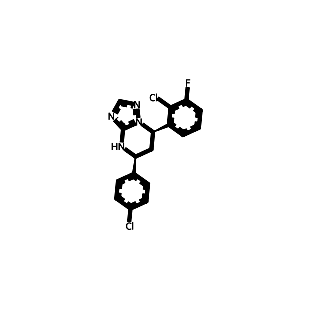 Fc1cccc([C@H]2C[C@@H](c3ccc(Cl)cc3)Nc3ncnn32)c1Cl